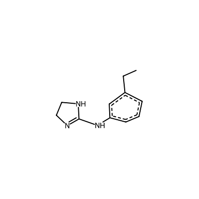 CCc1cccc(NC2=NCCN2)c1